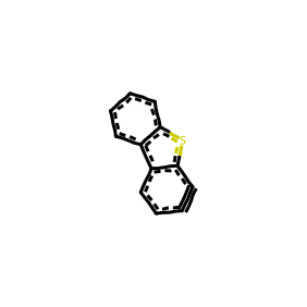 c1ccc2c(c#1)sc1ccccc12